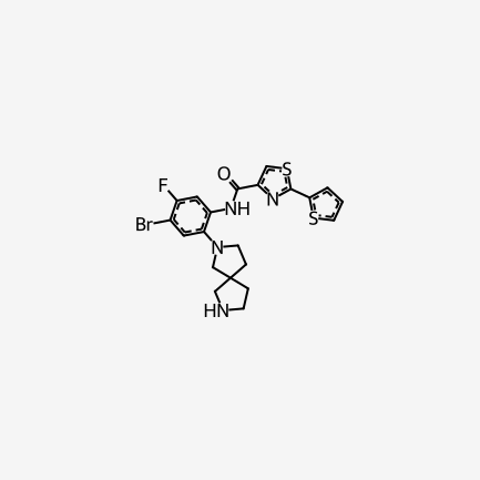 O=C(Nc1cc(F)c(Br)cc1N1CCC2(CCNC2)C1)c1csc(-c2cccs2)n1